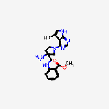 COC(=O)c1ccccc1NCC1(N)CCN(c2ncnc3[nH]cc(C)c23)C1